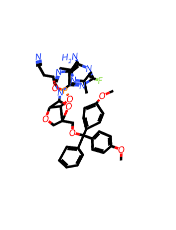 COc1ccc(C(OCC23COC(C(n4cnc5c(N)nc(F)nc54)O2)C3OP(OCCC#N)N(C(C)C)C(C)C)(c2ccccc2)c2ccc(OC)cc2)cc1